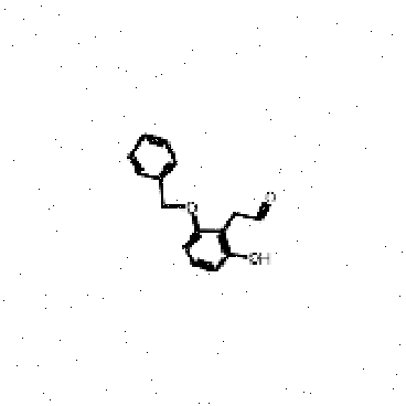 O=CCc1c(O)cccc1OCc1ccccc1